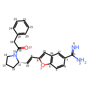 N=C(N)c1ccc2oc(/C=C/[C@@H]3CCCN3C(=O)Cc3ccccc3)cc2c1